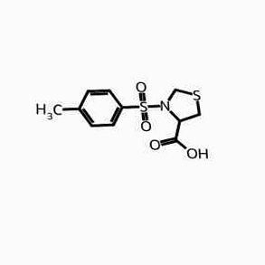 Cc1ccc(S(=O)(=O)N2CSCC2C(=O)O)cc1